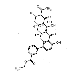 CCOC(=O)c1cccc(-c2ccc(O)c3c2C[C@H]2C[C@H]4CC(O)C(C(N)=O)C(=O)[C@@]4(O)C(O)=C2C3=O)c1